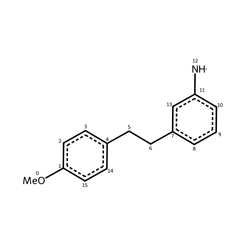 COc1ccc(CCc2cccc([NH])c2)cc1